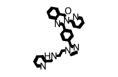 O=c1c2ccccc2nc(-c2ccc(-c3nccn3CCNCc3ccccn3)cc2)n1-c1ccccn1